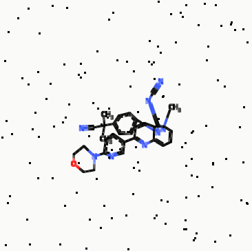 CN1C(=NC#N)N(c2ccc(C(C)(C)C#N)cc2)C23C=CC(c4ccc(N5CCOCC5)nc4)=NC2=CC=CC13